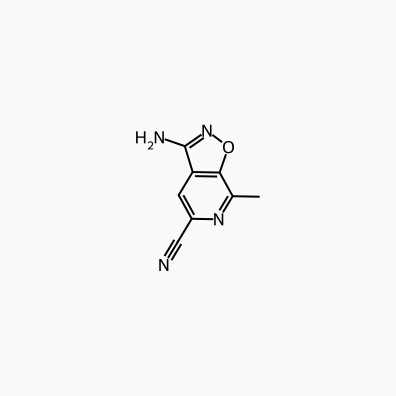 Cc1nc(C#N)cc2c(N)noc12